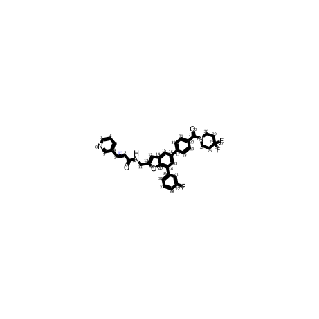 O=C(/C=C/c1cccnc1)NCc1cc2cc(-c3ccc(C(=O)N4CCC(F)(F)CC4)cc3)cc(-c3cccc(F)c3)c2o1